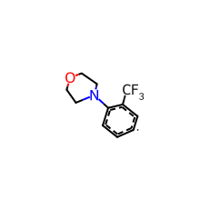 FC(F)(F)c1c[c]ccc1N1CCOCC1